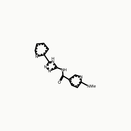 CNc1ccc(C(=O)Nc2nnc(-c3ccccn3)[nH]2)cn1